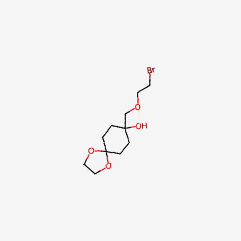 OC1(COCCBr)CCC2(CC1)OCCO2